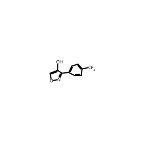 Oc1conc1-c1ccc(C(F)(F)F)cc1